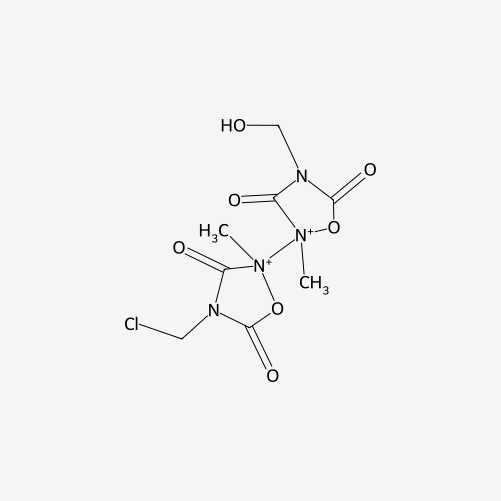 C[N+]1([N+]2(C)OC(=O)N(CCl)C2=O)OC(=O)N(CO)C1=O